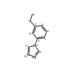 CCc1cccc(-n2cnnc2)c1